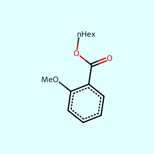 [CH2]CCCCCOC(=O)c1ccccc1OC